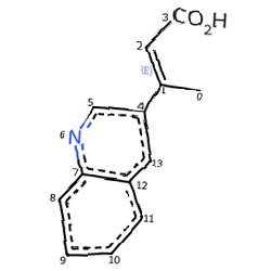 C/C(=C\C(=O)O)c1cnc2ccccc2c1